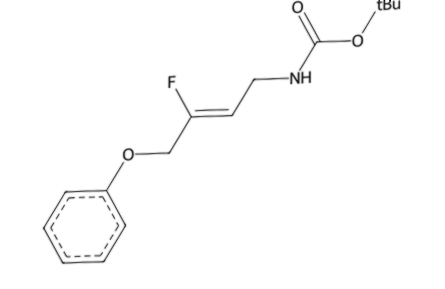 CC(C)(C)OC(=O)NC/C=C(\F)COc1ccccc1